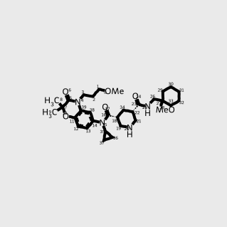 COCCCN1C(=O)C(C)(C)Oc2ccc(N(C(=O)[C@H]3CNC[C@@H](C(=O)NCC4(OC)CCCCC4)C3)C3CC3)cc21